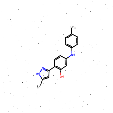 Cc1ccc(Nc2ccc(-c3cc(C(F)(F)F)[nH]n3)c(O)c2)cc1